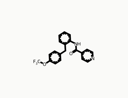 O=C(Nc1ccccc1Cc1ccc(OC(F)(F)F)cc1)c1ccncc1